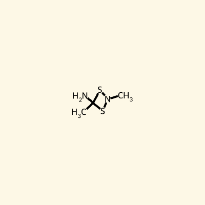 CN1SC(C)(N)S1